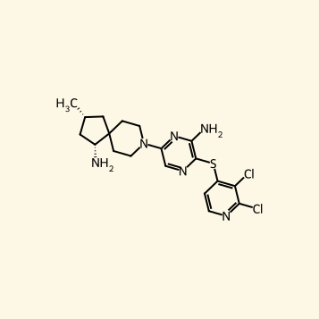 C[C@H]1C[C@@H](N)C2(CCN(c3cnc(Sc4ccnc(Cl)c4Cl)c(N)n3)CC2)C1